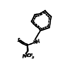 FC(F)(F)NC(=S)Nc1ccccc1